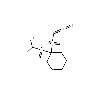 CC(C)S(=O)(=O)C1(S(=O)(=O)C=[N+]=[N-])CCCCC1